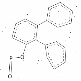 O=POc1cccc(-c2ccccc2)c1-c1ccccc1